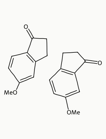 COc1ccc2c(c1)C(=O)CC2.COc1ccc2c(c1)CCC2=O